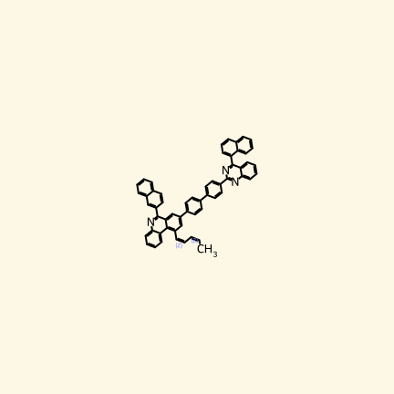 C/C=C\C=C/c1cc(-c2ccc(-c3ccc(-c4nc(-c5cccc6ccccc56)c5ccccc5n4)cc3)cc2)cc2c(-c3ccc4ccccc4c3)nc3ccccc3c12